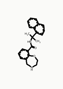 CC(C)(NC(=O)c1cccc2c1OCCNC2)c1cccc2ccccc12